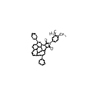 Cc1ccc(-n2c(=O)c3c4cc(-c5ccccc5)c5ccc6ccc7c(-c8ccccc8)cc(c3c2=O)c2c7c6c5c42)cc1C